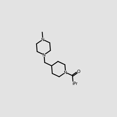 CC(C)C(=O)N1CCC(CN2CCN(C)CC2)CC1